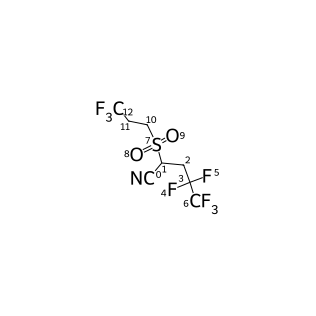 N#CC(CC(F)(F)C(F)(F)F)S(=O)(=O)CCC(F)(F)F